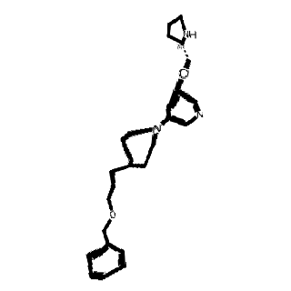 c1ccc(COCCCC2CCN(c3cncc(OC[C@@H]4CCCN4)c3)CC2)cc1